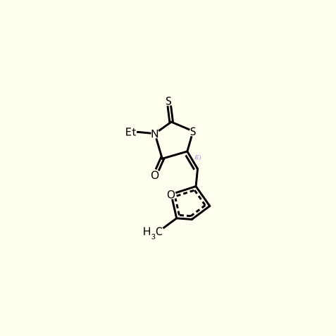 CCN1C(=O)/C(=C\c2ccc(C)o2)SC1=S